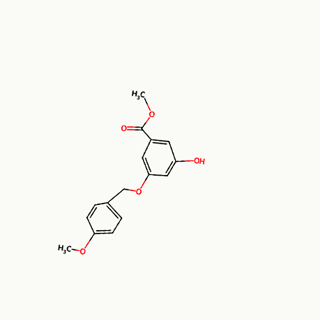 COC(=O)c1cc(O)cc(OCc2ccc(OC)cc2)c1